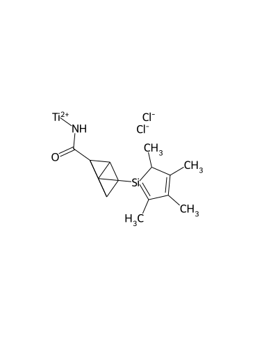 CC1=C(C)C(C)[Si](C23C4C5(C(=O)[NH][Ti+2])C2C453)=C1C.[Cl-].[Cl-]